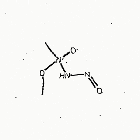 CO[N+](C)([O-])NN=O